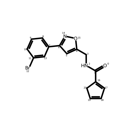 O=C(NCc1cc(-c2cccc(Br)c2)no1)C1=CC=CC1